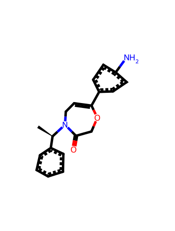 C[C@H](c1ccccc1)N1CC=C(c2ccc(N)cc2)OCC1=O